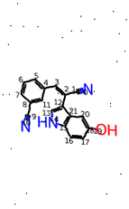 N#C/C(=C/c1cccc(C#N)c1)c1c[nH]c2ccc(O)cc12